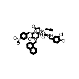 C#CCN(C(=O)NCc1ccc(Cl)c(Cl)c1)N1CC(=O)N2[C@@H](Cc3ccc([N+](=O)[O-])cc3)C(=O)N(Cc3cccc4ccccc34)C[C@@H]21